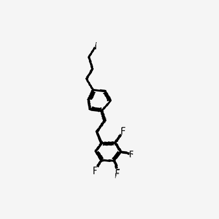 Fc1cc(CCc2ccc(CCCI)cc2)c(F)c(F)c1F